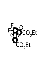 CCOC(=O)c1ccc2c(c1)-n1cc(C(=O)OCC)c(=O)c3cc(F)c(F)c(c31)O2